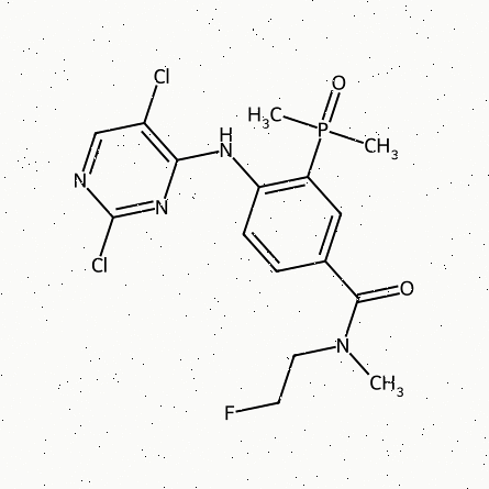 CN(CCF)C(=O)c1ccc(Nc2nc(Cl)ncc2Cl)c(P(C)(C)=O)c1